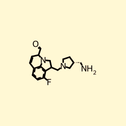 NC[C@H]1CCN(CC2CN3c4c(ccc(F)c42)C=CC3C=O)C1